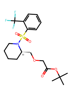 CC(C)(C)OC(=O)COC[C@@H]1CCCCN1S(=O)(=O)c1ccccc1C(F)(F)F